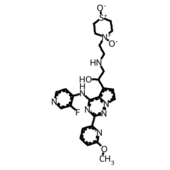 COc1cccc(-c2nc(Nc3ccncc3F)c3c(C(O)CNCC[N+]4([O-])CC[S+]([O-])CC4)ccn3n2)n1